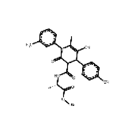 CC1=C(C#N)C(c2ccc(C#N)cc2)C(C(=O)N[C@@H](C)C(=O)OC(C)(C)C)C(=O)N1c1cccc(C(F)(F)F)c1